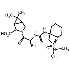 CN(C)S(=O)(=O)CC1(NC(=O)NC(C(=O)N2CC3C(C2C(=O)O)C3(C)C)C(C)(C)C)CCCCC1